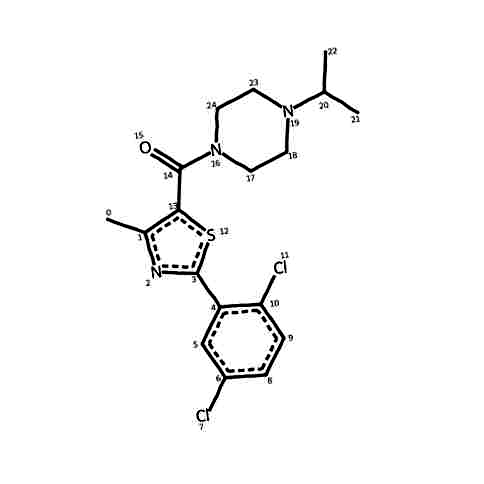 Cc1nc(-c2cc(Cl)ccc2Cl)sc1C(=O)N1CCN(C(C)C)CC1